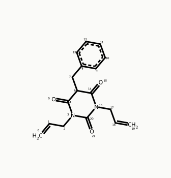 C=CCN1C(=O)C(Cc2ccccc2)C(=O)N(CC=C)C1=O